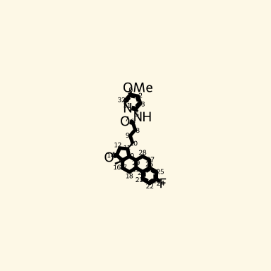 COc1ccc(NC(=O)CCC[C@@H]2CC(=O)[C@@]3(C)CCC4c5ccc(F)cc5CCC4C23)nc1